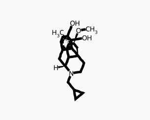 CO[C@H]1C[C@]23CCN(CC4CC4)[C@H](Cc4ccc(O)c(O)c42)C3C[C@@H]1C